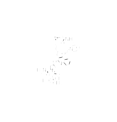 CC(C)(C)CC(=O)N1C[C@H](Oc2nc3ccccc3c(OCCN3CCOCC3)c2CCCCC[C@@H]2C[C@H]2OC(N)=O)C[C@H]1C(N)=O